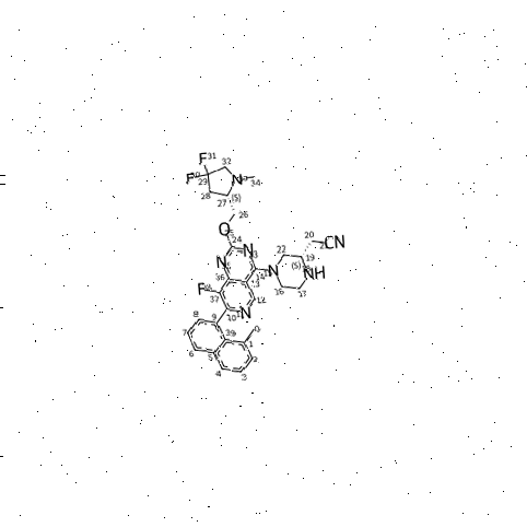 Cc1cccc2cccc(-c3ncc4c(N5CCN[C@@H](CC#N)C5)nc(OC[C@@H]5CC(F)(F)CN5C)nc4c3F)c12